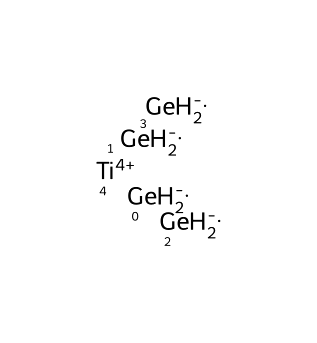 [GeH2-].[GeH2-].[GeH2-].[GeH2-].[Ti+4]